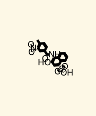 Cc1ccc(C(=O)Nc2c(O)cc(S(=O)(=O)O)c3ccccc23)cc1[N+](=O)[O-]